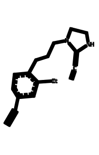 C#Cc1ccc(CCCN2CCNC2=C=C)c(CC)c1